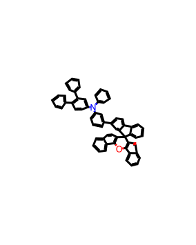 c1ccc(-c2ccc(N(c3ccccc3)c3cccc(-c4ccc5c(c4)C4(c6ccccc6-5)c5ccc6ccccc6c5Oc5c4ccc4ccccc54)c3)cc2-c2ccccc2)cc1